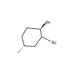 CC(=O)C1C[C@H](C)CC[C@H]1C(C)C